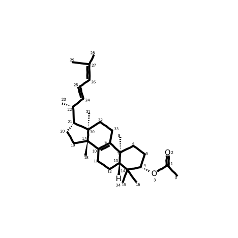 CC(=O)O[C@H]1CC[C@]2(C)C3=C(CC[C@H]2C1(C)C)[C@]1(C)CC[C@H]([C@H](C)/C=C/C=C(C)C)[C@@]1(C)CC3